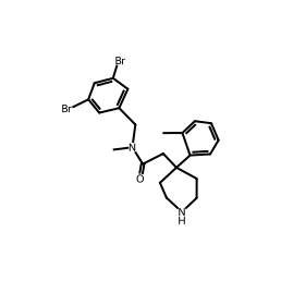 Cc1ccccc1C1(CC(=O)N(C)Cc2cc(Br)cc(Br)c2)CCNCC1